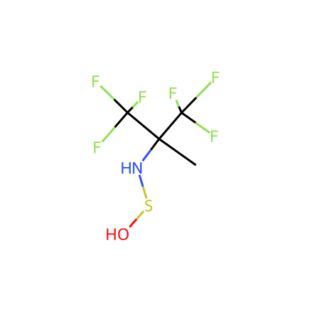 CC(NSO)(C(F)(F)F)C(F)(F)F